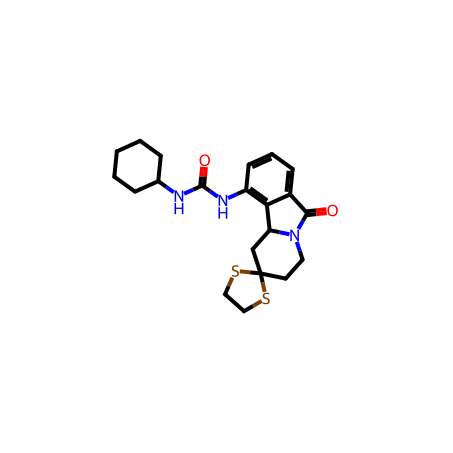 O=C(Nc1cccc2c1C1CC3(CCN1C2=O)SCCS3)NC1CCCCC1